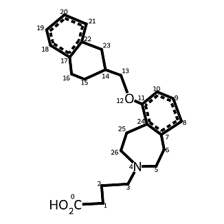 O=C(O)CCCN1CCc2cccc(OCC3CCc4ccccc4C3)c2CC1